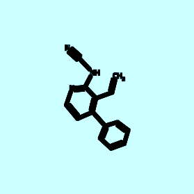 C=Cc1c(-c2ccccc2)ccnc1NC#N